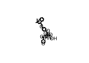 Cc1cc(COc2ccc(S(=O)(=O)N(C)C3(C(=O)NO)CN(C(=O)C4CCOCC4)C3)cc2)c2ccccc2n1